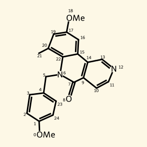 COc1ccc(Cn2c(=O)c3ccncc3c3cc(OC)cc(C)c32)cc1